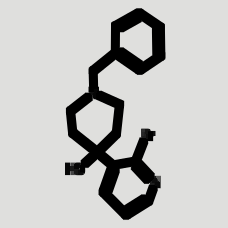 OC1(c2cccnc2Br)CCN(Cc2ccccc2)CC1